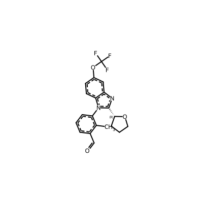 Cc1c(C=O)cccc1-n1c([C@H]2CCCO2)nc2cc(OC(F)(F)F)ccc21